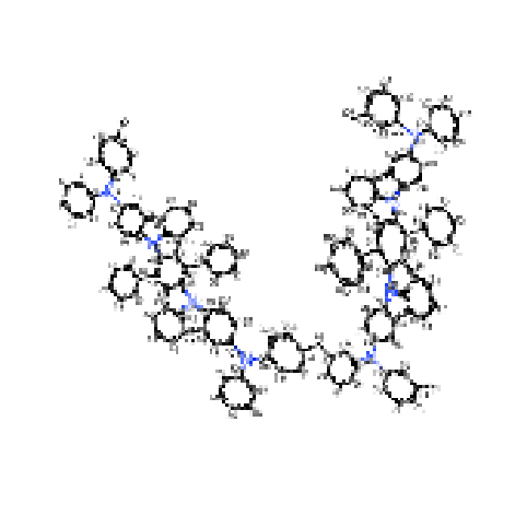 Cc1ccc(N(c2ccccc2)c2ccc3c(c2)c2cccc4c5c(-c6ccccc6)c6c(c(-c7ccccc7)c5n3c24)c2cccc3c4cc(N(c5ccccc5)c5ccc(Cc7cccc(N(c8cccc(C)c8)c8ccc9c(c8)c8cccc%10c%11c(-c%12ccccc%12)c%12c(c(-c%13ccccc%13)c%11n9c8%10)c8cccc9c%10cc(N(c%11ccccc%11)c%11cccc(C)c%11)ccc%10n%12c98)c7)cc5)ccc4n6c32)cc1